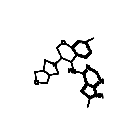 Cc1ccc2c(c1)OCC(N1CC3COCC3C1)C2Nc1ncnc2[nH]c(C)cc12